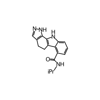 CC(C)NC(=O)c1cccc2[nH]c3c(c12)CCc1cn[nH]c1-3